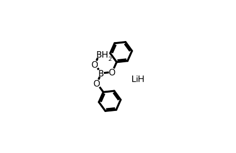 BOB(Oc1ccccc1)Oc1ccccc1.[LiH]